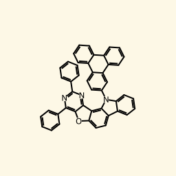 c1ccc(-c2nc(-c3ccccc3)c3oc4ccc5c6ccccc6n(-c6ccc7c8ccccc8c8ccccc8c7c6)c5c4c3n2)cc1